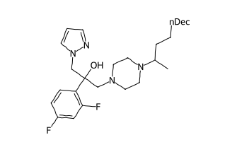 CCCCCCCCCCCCC(C)N1CCN(CC(O)(Cn2cccn2)c2ccc(F)cc2F)CC1